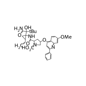 C=CC1CC1(NC(=O)C1CC(Oc2cc(-c3ccccc3)nc3cc(OC)ccc23)CN1C(=O)O)C(O)(C(N)=O)C(C)(C)C